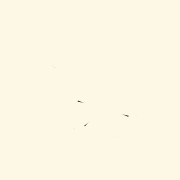 CC(=O)O[C@@H]1[C@@H](OC(C)=O)[C@@H](OCC[N+](C)(C)CF)OC[C@H]1OC(C)=O